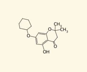 CC1(C)CC(=O)c2c(O)cc(OC3CCCCC3)cc2O1